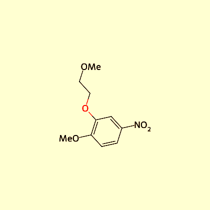 COCCOc1cc([N+](=O)[O-])ccc1OC